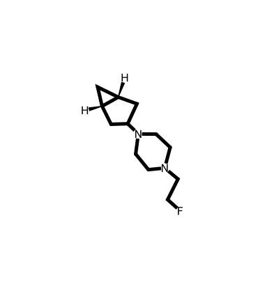 FCCN1CCN(C2C[C@@H]3C[C@@H]3C2)CC1